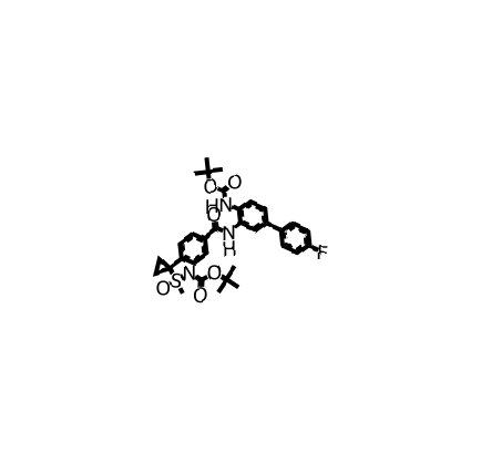 CC(C)(C)OC(=O)N=S(C)(=O)C1(c2ccc(C(=O)Nc3cc(-c4ccc(F)cc4)ccc3NC(=O)OC(C)(C)C)cc2)CC1